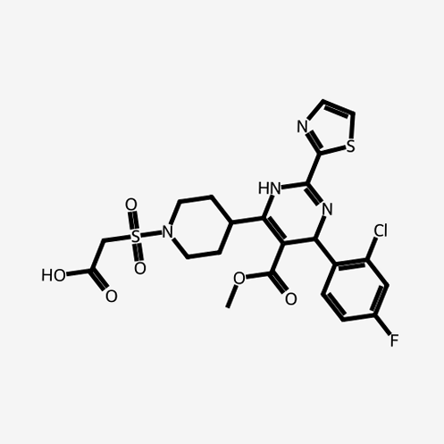 COC(=O)C1=C(C2CCN(S(=O)(=O)CC(=O)O)CC2)NC(c2nccs2)=NC1c1ccc(F)cc1Cl